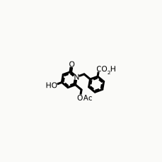 CC(=O)OCc1cc(O)cc(=O)n1Cc1ccccc1C(=O)O